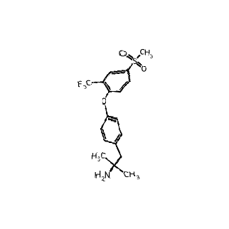 CC(C)(N)Cc1ccc(Oc2ccc(S(C)(=O)=O)cc2C(F)(F)F)cc1